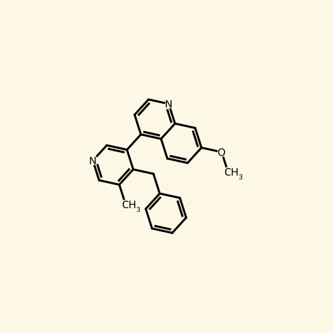 COc1ccc2c(-c3cncc(C)c3Cc3ccccc3)ccnc2c1